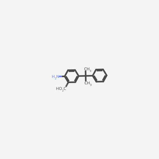 CC(C)(c1ccccc1)c1ccc(N)c(C(=O)O)c1